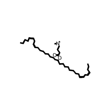 CCC/C=C\C/C=C\CCCCCCCCC(CCCCCCCC/C=C\C/C=C\CCCC)OC(=O)CCCN(C)C